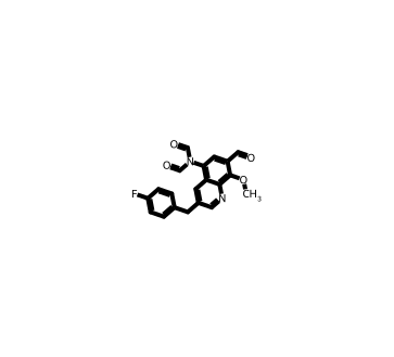 COc1c(C=O)cc(N(C=O)C=O)c2cc(Cc3ccc(F)cc3)cnc12